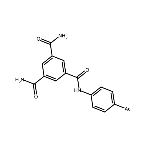 CC(=O)c1ccc(NC(=O)c2cc(C(N)=O)cc(C(N)=O)c2)cc1